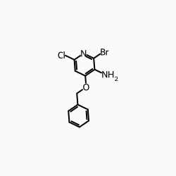 Nc1c(OCc2ccccc2)cc(Cl)nc1Br